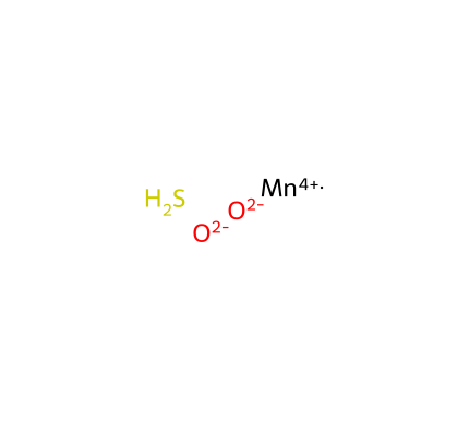 S.[Mn+4].[O-2].[O-2]